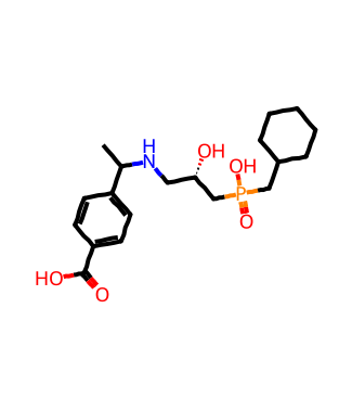 CC(NC[C@H](O)CP(=O)(O)CC1CCCCC1)c1ccc(C(=O)O)cc1